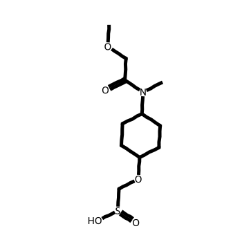 COCC(=O)N(C)C1CCC(OCS(=O)O)CC1